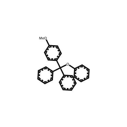 COc1ccc(C(Oc2ccccc2)(c2ccccc2)c2ccccc2)cc1